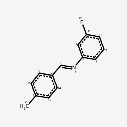 Cc1ccc(C=Nc2cccc(F)c2)cc1